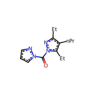 CCCc1c(CC)nn(C(=O)n2cccn2)c1CC